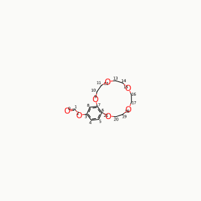 O=COc1ccc2c(c1)OCCOCCOCCOCCO2